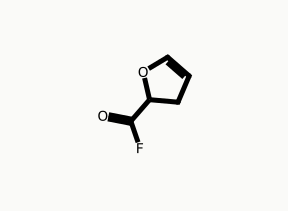 O=C(F)C1CC=CO1